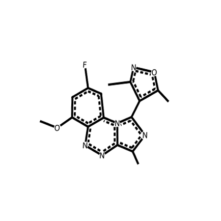 COc1cc(F)cc2c1nnc1c(C)nc(-c3c(C)noc3C)n12